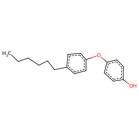 CCCCCCc1ccc(Oc2ccc(O)cc2)cc1